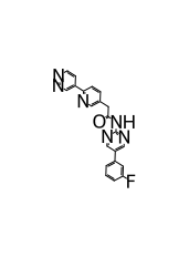 O=C(Cc1ccc(-c2ccnnc2)nc1)Nc1ncc(-c2cccc(F)c2)cn1